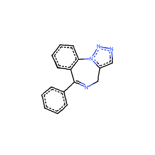 c1ccc(C2=NCc3cnnn3-c3ccccc32)cc1